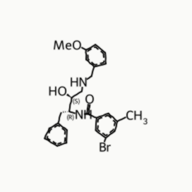 COc1cccc(CNC[C@H](O)[C@@H](Cc2ccccc2)NC(=O)c2cc(C)cc(Br)c2)c1